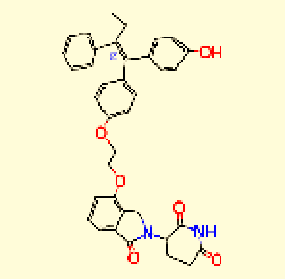 CC/C(=C(\c1ccc(O)cc1)c1ccc(OCCOc2cccc3c2CN(C2CCC(=O)NC2=O)C3=O)cc1)c1ccccc1